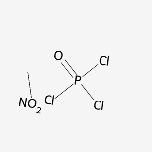 C[N+](=O)[O-].O=P(Cl)(Cl)Cl